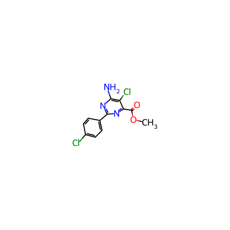 COC(=O)c1nc(-c2ccc(Cl)cc2)nc(N)c1Cl